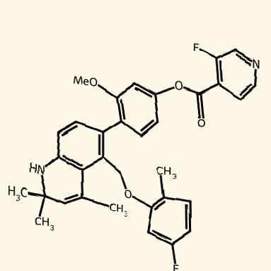 COc1cc(OC(=O)c2ccncc2F)ccc1-c1ccc2c(c1COc1cc(F)ccc1C)C(C)=CC(C)(C)N2